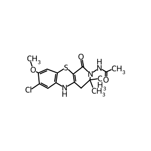 COc1cc2c(cc1Cl)NC1=C(S2)C(=O)N(NC(C)=O)C(C)(C)C1